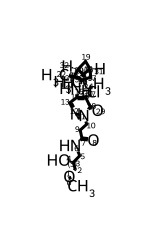 COC[C@@H](O)CNC(=O)CCn1ncc(N[C@@H]2C[C@@H]3C[C@H]([C@H]2C)C3(C)C)c(Cl)c1=O